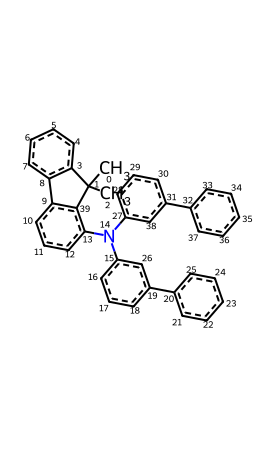 CC1(C)c2ccccc2-c2cccc(N(c3cccc(-c4ccccc4)c3)c3cccc(-c4ccccc4)c3)c21